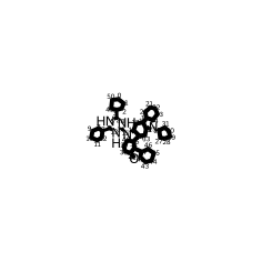 c1ccc(C2NC(c3ccccc3)NC(n3c4cc5c6ccccc6n(-c6ccccc6)c5cc4c4c5c(ccc43)oc3ccccc35)N2)cc1